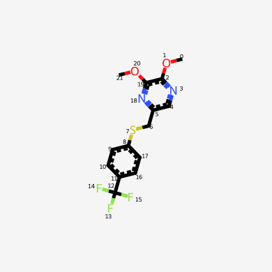 COc1ncc(CSc2ccc(C(F)(F)F)cc2)nc1OC